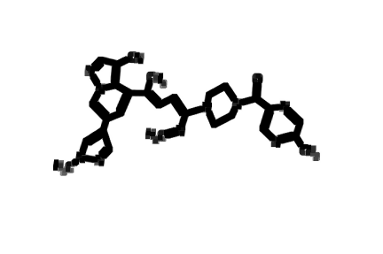 C=N/C(=C\C=C(/C)c1cc(-c2cnn(C)c2)cn2ncc(C#N)c12)N1CCN(C(=O)c2cnc(C)cn2)CC1